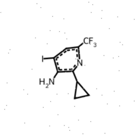 Nc1c(I)cc(C(F)(F)F)nc1C1CC1